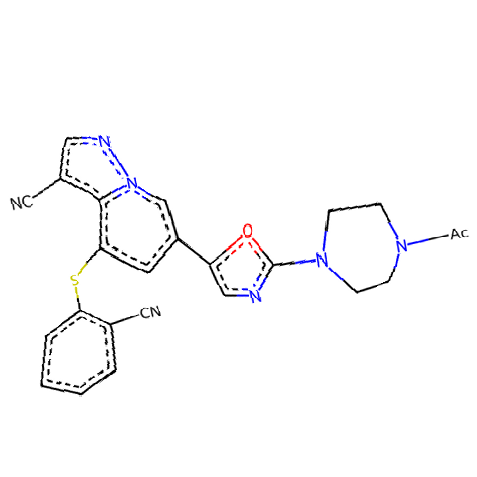 CC(=O)N1CCN(c2ncc(-c3cc(Sc4ccccc4C#N)c4c(C#N)cnn4c3)o2)CC1